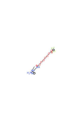 CCCCc1nc2c(N)nc3ccccc3c2n1CCCCNC(=O)CCOCCOCCOCCOCCOCCOCCC(=O)Oc1c(F)c(F)cc(F)c1F